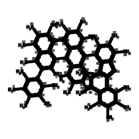 Bc1c(B)c(B)c(-c2c(B)c(-c3c4c(B)c(B)c(B)c(B)c4c(-c4c(B)c(B)c(B)c5oc6c7c(B)c(B)c(B)c(B)c7c(B)c(B)c6c45)c4c(B)c(B)c(B)c(B)c34)c3c(B)c(B)c(B)c(B)c3c2B)c(B)c1B